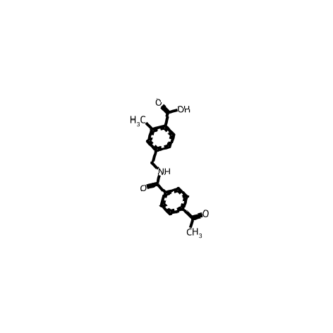 CC(=O)c1ccc(C(=O)NCc2ccc(C(=O)O)c(C)c2)cc1